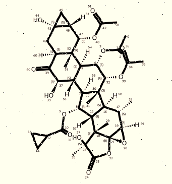 CC(=O)O[C@H]1[C@H]2[C@H]([C@@H]3[C@@H](OC(=O)C4CC4)[C@@H]4[C@H]([C@H](C)[C@H]5O[C@]56OC(=O)[C@@](C)(O)[C@]46C)[C@@]3(C)[C@H]1OC(C)=O)[C@@H](O)C(=O)[C@H]1C[C@@]3(O)C[C@@H]3[C@H](OC(C)=O)[C@]21C